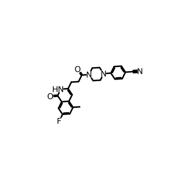 Cc1cc(F)cc2c(=O)[nH]c(CCC(=O)N3CCN(c4ccc(C#N)cc4)CC3)cc12